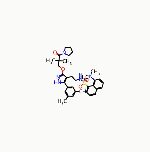 Cc1cc(C)cc(-c2[nH]nc(OCC(C)(C)C(=O)N3CCCC3)c2CCNS(=O)(=O)c2cccc3cccc(N(C)C)c23)c1